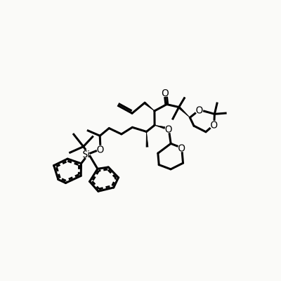 C=CC[C@@H](C(=O)C(C)(C)[C@@H]1CCOC(C)(C)O1)[C@@H](OC1CCCCO1)[C@@H](C)CCCC(C)O[Si](c1ccccc1)(c1ccccc1)C(C)(C)C